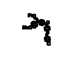 COC(=O)/C=C\C(=O)N(CCOC(C)C)c1ccc(C(=O)N2CCN(CCc3ccc(Cl)cc3)CC2)cc1